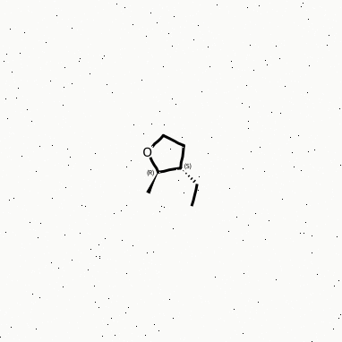 CC[C@H]1CCO[C@@H]1C